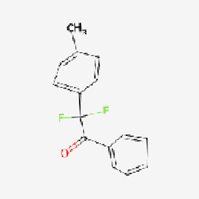 Cc1ccc(C(F)(F)C(=O)c2ccccc2)cc1